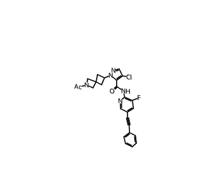 CC(=O)N1CC2(CC(n3ncc(Cl)c3C(=O)Nc3ncc(C#Cc4ccccc4)cc3F)C2)C1